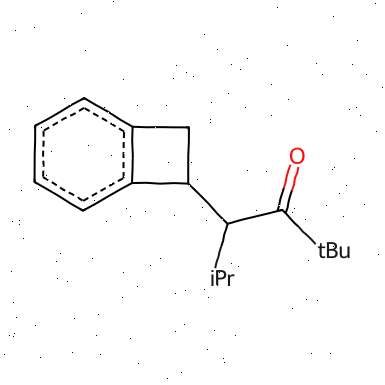 CC(C)C(C(=O)C(C)(C)C)C1Cc2ccccc21